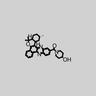 C[C@H]1CC[C@H]2[C@H](C1)c1c(c3ccccc3c3nc4ccc(C(=O)N5CCC(O)CC5)cc4nc13)OC2(C)C